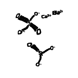 O=S(=O)([O-])[O-].O=[Si]([O-])[O-].[Ba+2].[Ca+2]